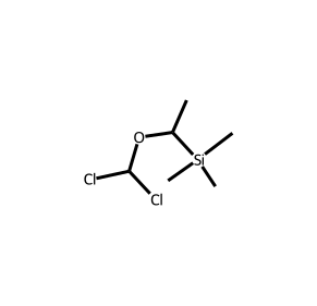 CC(OC(Cl)Cl)[Si](C)(C)C